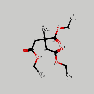 CC(=O)OC(CC(=O)OCC(F)(F)F)(CC(=O)OCC(F)(F)F)C(=O)OCC(F)(F)F